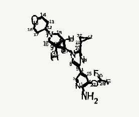 Nc1ncc(-c2cn([C@H]3[C@@H]4CN(C5CCOCC5)C[C@@H]43)c(C3CC3)n2)cc1OC(F)F